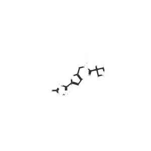 CN(Cc1ccc(-c2noc(C(F)(F)F)n2)s1)C(=O)C1(C)COC1